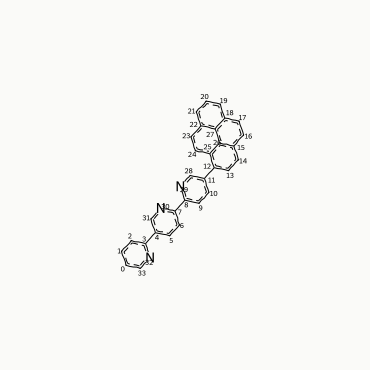 c1ccc(-c2ccc(-c3ccc(-c4ccc5ccc6cccc7ccc4c5c67)cn3)nc2)nc1